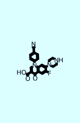 N#Cc1ccc(-n2cc(C(=O)O)c(=O)c3cc(F)c(N4CCNCC4)cc32)cc1